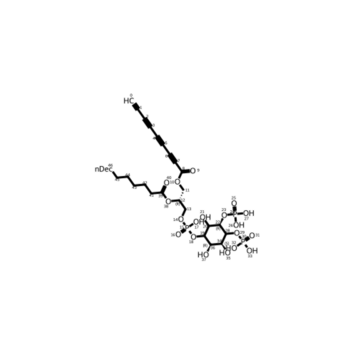 C#CC#CC#CC#CC(=O)OC[C@H](COP(=O)(O)OC1C(O)[C@@H](OP(=O)(O)O)C(OP(=O)(O)O)[C@@H](O)[C@H]1O)OC(=O)CCCCCCCCCCCCCCC